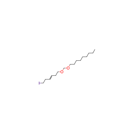 CCCCCCCCCOCOCCC=CCCI